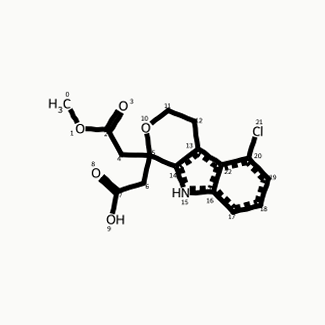 COC(=O)CC1(CC(=O)O)OCCc2c1[nH]c1cccc(Cl)c21